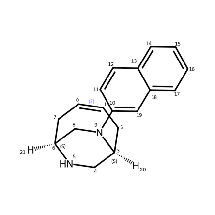 C1=C\C[C@H]2CN[C@@H](C/1)CN2c1ccc2ccccc2c1